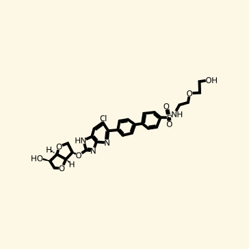 O=S(=O)(NCCOCCO)c1ccc(-c2ccc(-c3nc4nc(O[C@@H]5CO[C@H]6[C@@H]5OC[C@H]6O)[nH]c4cc3Cl)cc2)cc1